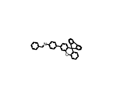 C(=N\c1ccc(-c2ccc3c(c2)Oc2ccccc2C32c3ccccc3-c3ccccc32)cc1)/c1ccccc1